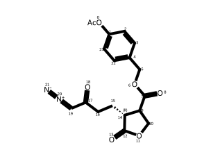 CC(=O)Oc1ccc(COC(=O)C2COC(=O)[C@@H]2CCC(=O)C=[N+]=[N-])cc1